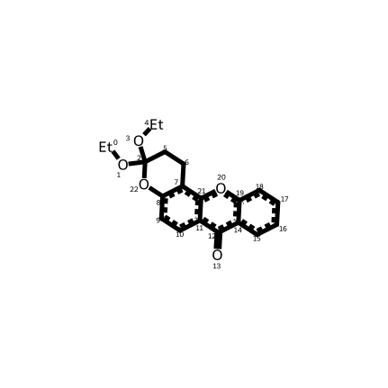 CCOC1(OCC)CCc2c(ccc3c(=O)c4ccccc4oc23)O1